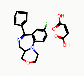 Clc1ccc2c(c1)C(c1ccccc1)=NCC1COCCN21.O=C(O)/C=C\C(=O)O